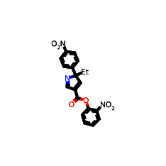 CCC1(c2ccc([N+](=O)[O-])cc2)C=C(C(=O)Oc2ccccc2[N+](=O)[O-])C=N1